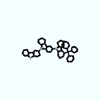 c1ccc(C(c2ccccc2)(c2ccccc2)c2cccc3c2c2ccccc2n3-c2ccc3c(c2)c2ccccc2n3-c2ccc3sc4ccccc4c3c2)cc1